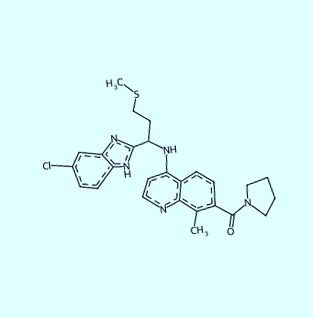 CSCCC(Nc1ccnc2c(C)c(C(=O)N3CCCC3)ccc12)c1nc2cc(Cl)ccc2[nH]1